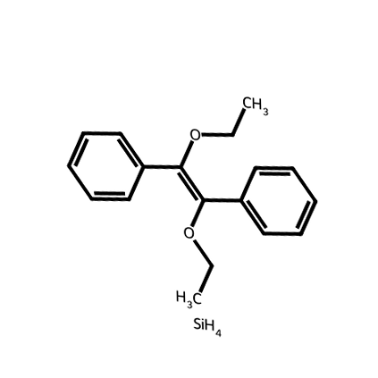 CCOC(=C(OCC)c1ccccc1)c1ccccc1.[SiH4]